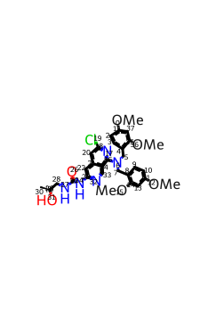 COc1ccc(CN(Cc2ccc(OC)cc2OC)c2nc(Cl)cc3cc(NC(=O)NC[C@H](C)O)ncc23)c(OC)c1